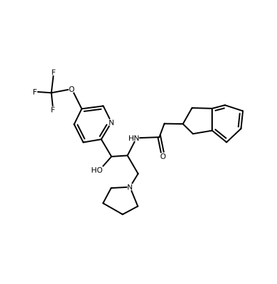 O=C(CC1Cc2ccccc2C1)NC(CN1CCCC1)C(O)c1ccc(OC(F)(F)F)cn1